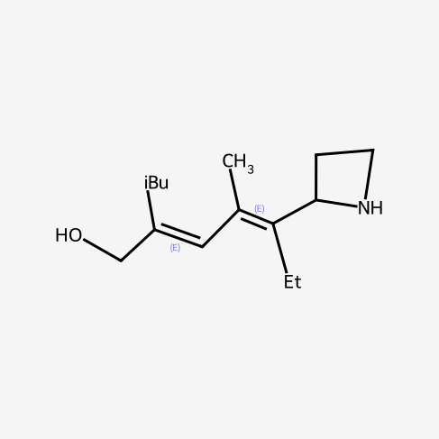 CC/C(=C(C)\C=C(\CO)C(C)CC)C1CCN1